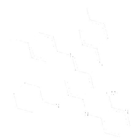 COc1ncccc1Nc1cc2nc3ccc(F)cc3n(-c3ccc(Cl)cc3)c-2c/c1=N\C1CCCCC1